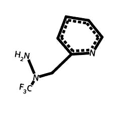 NN(Cc1ccccn1)C(F)(F)F